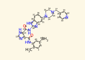 Bc1ccc(C)c(NC(=O)c2nc[nH]c2C(=O)Nc2nc3cc(N4CCN(Cc5ccncc5)CC4)ccc3[nH]2)c1